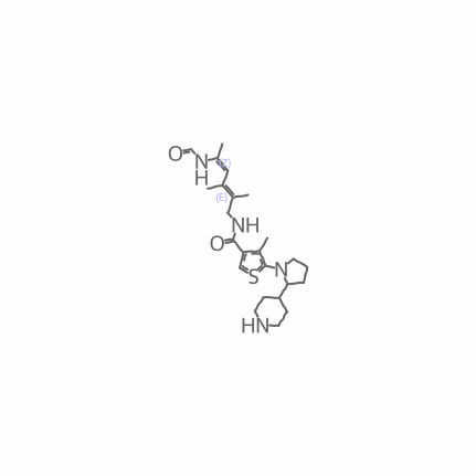 C/C(=C/C(C)=C(\C)CNC(=O)c1csc(N2CCCC2C2CCNCC2)c1C)NC=O